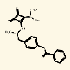 CCCCCCN(CCCCCC)c1c(N[C@@H](Cc2ccc(NC(=O)c3ccccc3)cc2)C(=O)O)c(=O)c1=O